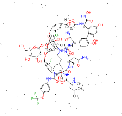 CN[C@H](CC(C)C)C(=O)N[C@H]1C(=O)N[C@@H](CC(N)=O)C(=O)NC2C(=O)N[C@H]3C(=O)N[C@H](C(=O)N[C@@H](C(=O)NO)c4cc(O)cc(O)c4-c4cc3ccc4O)[C@H](O)c3ccc(c(Cl)c3)Oc3cc2cc(c3O[C@@H]2O[C@H](CO)[C@@H](O)[C@H](O)[C@H]2O[C@H]2C[C@](C)(NCCC3CCN(C(=O)Nc4ccc(OC(F)(F)F)cc4)CC3)[C@H](O)[C@H](C)O2)Oc2ccc(cc2Cl)[C@H]1O